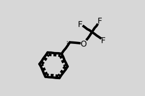 FC(F)(F)O[C]c1ccccc1